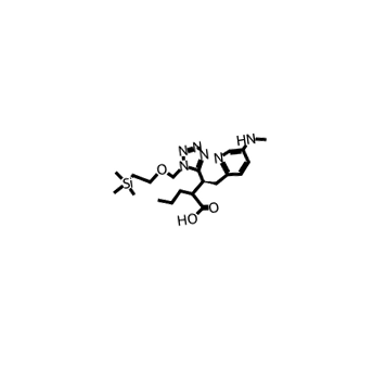 CCCC(C(=O)O)[C@H](Cc1ccc(NC)cn1)c1nnnn1COCC[Si](C)(C)C